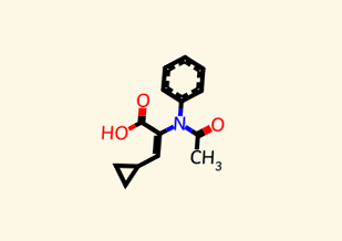 CC(=O)N(/C(=C/C1CC1)C(=O)O)c1ccccc1